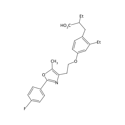 CCc1cc(OCCc2nc(-c3ccc(F)cc3)oc2C)ccc1CC(CC)C(=O)O